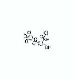 COc1cc(OC(=O)c2ccc(CO)c(NC(=O)CCl)c2)cc(OC)c1OC